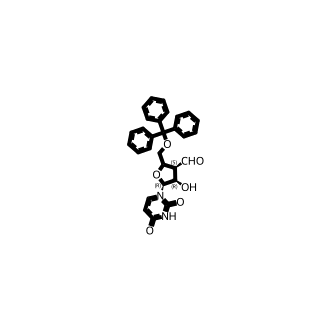 O=C[C@@H]1C(COC(c2ccccc2)(c2ccccc2)c2ccccc2)O[C@@H](n2ccc(=O)[nH]c2=O)[C@@H]1O